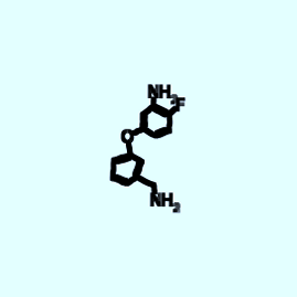 NCc1cccc(Oc2ccc(F)c(N)c2)c1